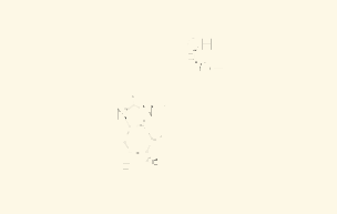 OB(O)CCCCn1cnc2cc(F)c(F)cc21